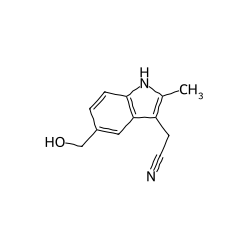 Cc1[nH]c2ccc(CO)cc2c1CC#N